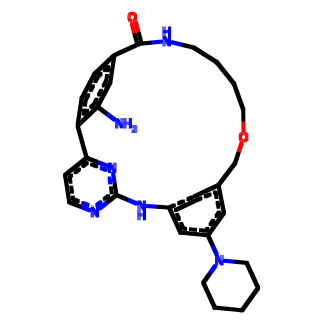 Nc1cc2ccc1-c1ccnc(n1)Nc1cc(cc(N3CCCCC3)c1)COCCCCNC2=O